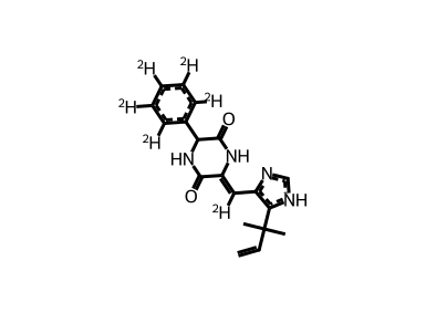 [2H]C(=C1NC(=O)C(c2c([2H])c([2H])c([2H])c([2H])c2[2H])NC1=O)c1nc[nH]c1C(C)(C)C=C